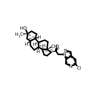 C[C@@]1(O)CC[C@H]2[C@H](CC[C@@H]3[C@@H]2CC[C@]2(C)[C@@H](C(=O)Cn4ncc5cc(Cl)ncc54)CC[C@@H]32)C1